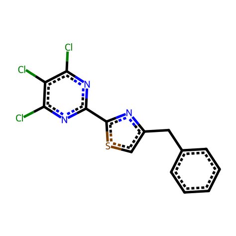 Clc1nc(-c2nc(Cc3ccccc3)cs2)nc(Cl)c1Cl